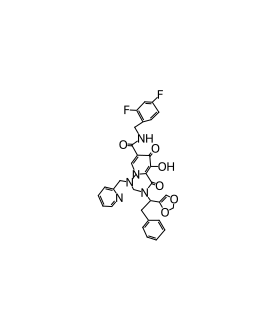 O=C(NCc1ccc(F)cc1F)c1cn2c(c(O)c1=O)C(=O)N(C(Cc1ccccc1)C1=COCO1)CN2Cc1ccccn1